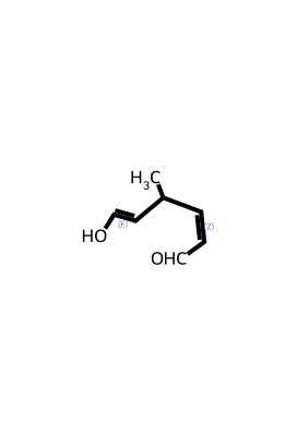 CC(/C=C\C=O)/C=C/O